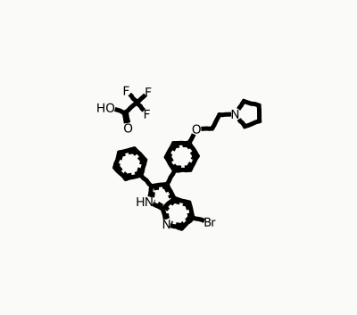 Brc1cnc2[nH]c(-c3ccccc3)c(-c3ccc(OCCN4CCCC4)cc3)c2c1.O=C(O)C(F)(F)F